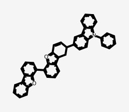 C1=CC(c2ccc3c(c2)c2ccccc2n3-c2ccccc2)Cc2c1oc1c(-c3cccc4c3oc3ccccc34)cccc21